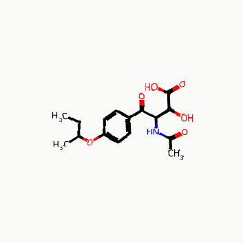 CCC(C)Oc1ccc(C(=O)C(NC(C)=O)C(O)C(=O)O)cc1